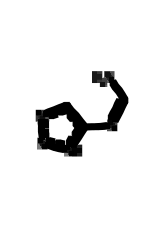 N/C=N\c1cnn[nH]1